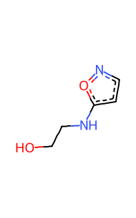 OCCNc1ccno1